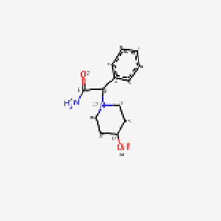 NC(=O)C(c1ccccc1)N1CCC(O)CC1